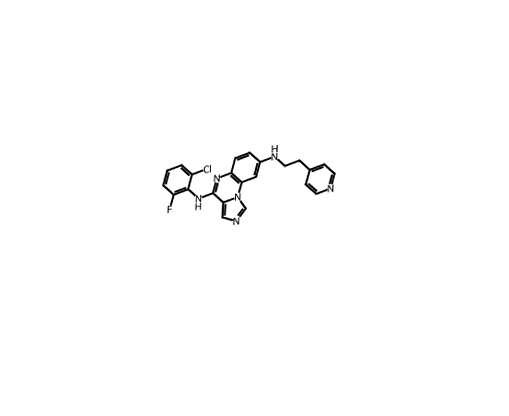 Fc1cccc(Cl)c1Nc1nc2ccc(NCCc3ccncc3)cc2n2cncc12